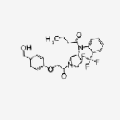 CCCC(=O)N(c1ccccc1C(F)(F)F)C1CCN(C(=O)COc2ccc(CO)cc2)C1